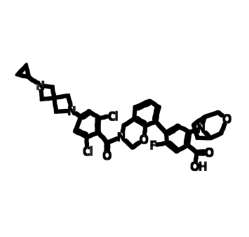 O=C(O)c1cc(F)c(-c2cccc3c2OCN(C(=O)c2c(Cl)cc(N4CC5(C4)CN(C4CC4)C5)cc2Cl)C3)cc1N1C2CCC1COC2